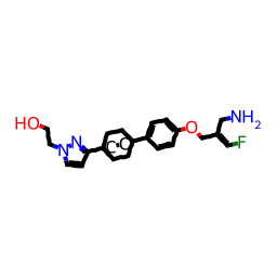 NC/C(=C\F)COc1ccc(C23CCC(c4ccn(CCO)n4)(CC2)CC3)cc1